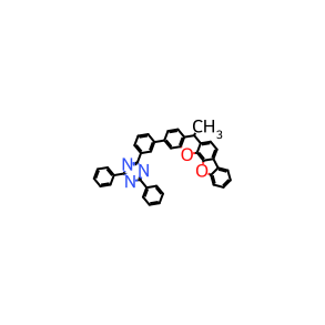 CC1c2ccc(-c3cccc(-c4nc(-c5ccccc5)nc(-c5ccccc5)n4)c3)cc2Oc2c1ccc1c2oc2ccccc21